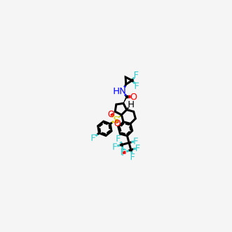 O=C(NC1CC1(F)F)[C@@H]1CC[C@@]2(S(=O)(=O)c3ccc(F)cc3)c3ccc(C(F)(C(F)(F)F)C(F)(F)F)cc3CC[C@@H]12